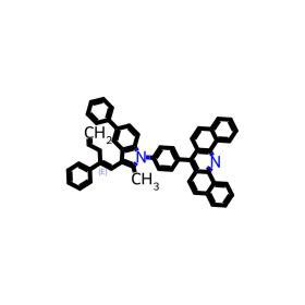 C=CC/C(=C\c1c(C)n(-c2ccc(-c3c4ccc5ccccc5c4nc4c3ccc3ccccc34)cc2)c2ccc(-c3ccccc3)cc12)c1ccccc1